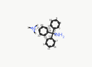 CN(C)C.NC(c1ccccc1)(c1ccccc1)c1ccccc1